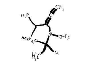 C=C=C(C(P)NC)N(C)C(C)(C)C(C)=O